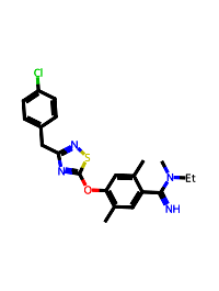 CCN(C)C(=N)c1cc(C)c(Oc2nc(Cc3ccc(Cl)cc3)ns2)cc1C